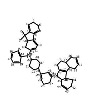 CC1(C)C2=CCCC=C2C2=CC=C(N(c3ccccc3)C3CCC(C4=CCCC(N5C6=C(C7CC=CCC7CC6)C6CCC=CC65)=C4)CC3)CC21